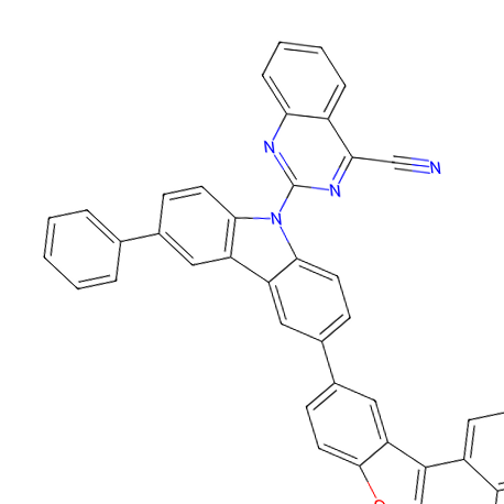 N#Cc1nc(-n2c3ccc(-c4ccccc4)cc3c3cc(-c4ccc5oc6ccc7ccccc7c6c5c4)ccc32)nc2ccccc12